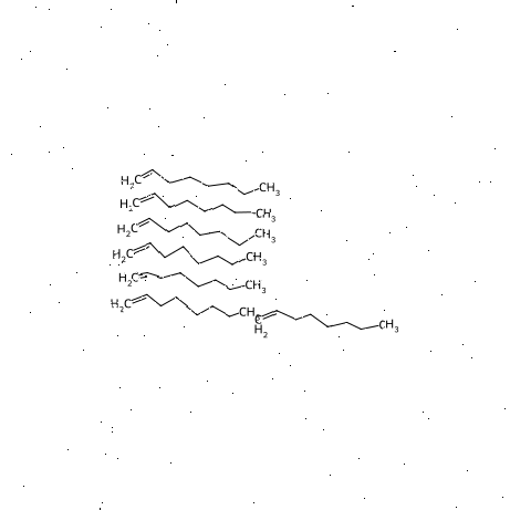 C=CCCCCCC.C=CCCCCCC.C=CCCCCCC.C=CCCCCCC.C=CCCCCCC.C=CCCCCCC.C=CCCCCCC